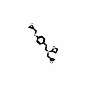 c1cc(OCC2CO2)ccc1CCN(CC1CO1)C1CCO1